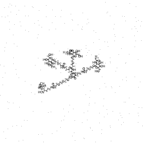 COP(=O)(O)OCC(CO)CCCCNC(=O)CCOCCOCCOCCNC(=O)[C@H](CCCCNC(=O)CCOCCOC1OC(CO)C(O)C(O)C1NC(C)=O)NC(=O)[C@H](CCCCNC(=O)CCOCCOC1OC(CO)C(O)C(O)C1NC(C)=O)NC(=O)CCOCCOC1OC(CO)C(O)C(O)C1NC(C)=O